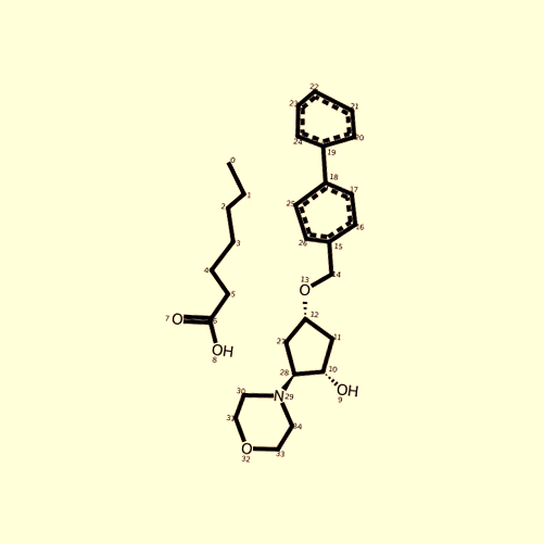 CCCCCCC(=O)O.O[C@H]1C[C@@H](OCc2ccc(-c3ccccc3)cc2)C[C@@H]1N1CCOCC1